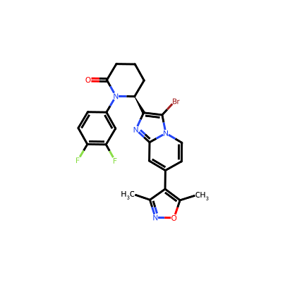 Cc1noc(C)c1-c1ccn2c(Br)c([C@@H]3CCCC(=O)N3c3ccc(F)c(F)c3)nc2c1